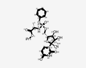 CC(C)OC(=O)[C@H](C)NP(=O)(OC[C@H]1O[C@@](C#N)(n2ccc(=O)[nH]c2=O)[C@](C)(O)[C@@H]1O)Oc1ccccc1